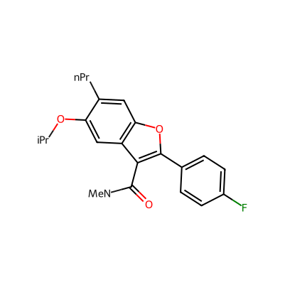 CCCc1cc2oc(-c3ccc(F)cc3)c(C(=O)NC)c2cc1OC(C)C